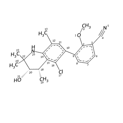 COc1c(C#N)cccc1-c1cc(C)c2c(c1Cl)[C@H](C)[C@H](O)C(C)(C)N2